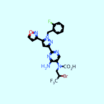 Nc1nc(-c2cc(-c3ccon3)n(Cc3ccccc3F)n2)ncc1N(CC(Br)C(F)(F)F)C(=O)O